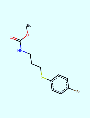 CC(C)(C)OC(=O)NCCCSc1ccc(Br)cc1